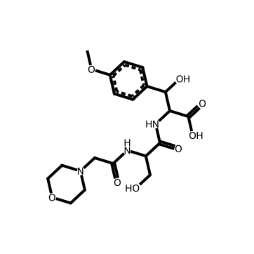 COc1ccc(C(O)C(NC(=O)C(CO)NC(=O)CN2CCOCC2)C(=O)O)cc1